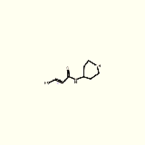 O=C(/C=C/S)NC1CCNCC1